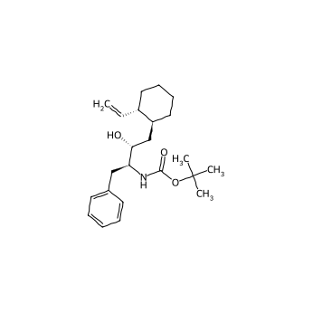 C=C[C@@H]1CCCC[C@H]1C[C@@H](O)[C@H](Cc1ccccc1)NC(=O)OC(C)(C)C